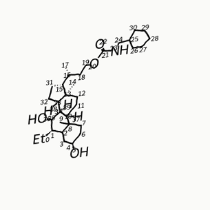 CC[C@@H]1C2C[C@H](O)CCC2(C)[C@H]2CC[C@]3(C)[C@@H]([C@H](C)CCOC(=O)NCC4CCCCC4)CC[C@H]3[C@@H]2[C@@H]1O